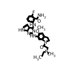 CCCN(C)CC(=O)N1CCc2cc(OC)c(NC3=NC4NC=CC4C(Nc4cccc(F)c4C(N)=O)=N3)cc21